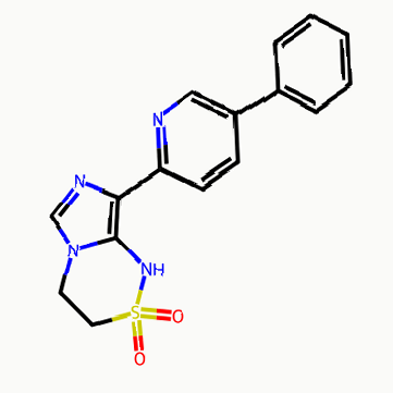 O=S1(=O)CCn2cnc(-c3ccc(-c4ccccc4)cn3)c2N1